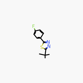 CC(C)(C)c1nnc(-c2ccc(F)cc2)s1